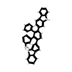 N#Cc1cccc(-c2c(-c3ccc4c(c3)sc3ccccc34)ccc(-c3ccc4c(c3)sc3ccccc34)c2-c2ccccc2)c1